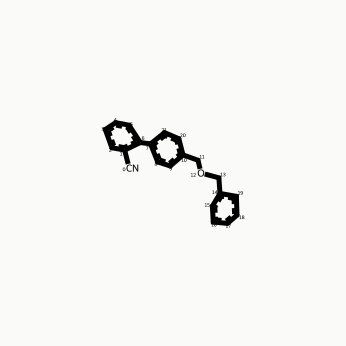 N#Cc1ccccc1-c1ccc(COCc2ccccc2)cc1